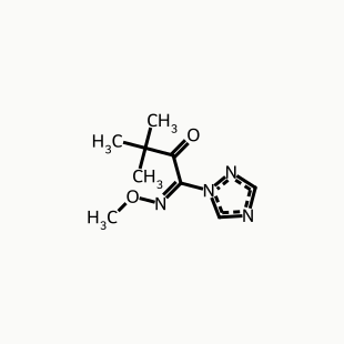 CON=C(C(=O)C(C)(C)C)n1cncn1